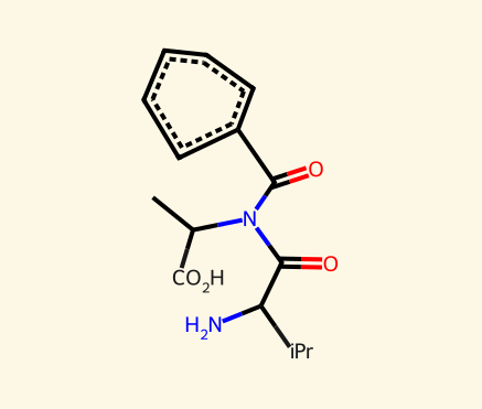 CC(C)C(N)C(=O)N(C(=O)c1ccccc1)C(C)C(=O)O